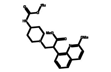 COC(=O)C(CN1CCC(NC(=O)OC(C)(C)C)CC1)c1cccc2ccc(OC)nc12